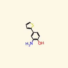 Nc1cc(-c2cccs2)ccc1O